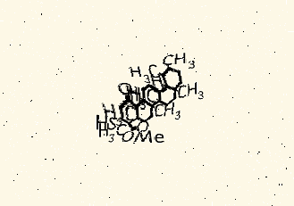 COC(=O)C1(C)C2CC[C@]3(C)[C@H](CC=C4[C@@H]5[C@@H](C)[C@H](C)CC[C@]5(C)CC[C@]43C)[C@@]2(C)C(=O)C[C@H]1S